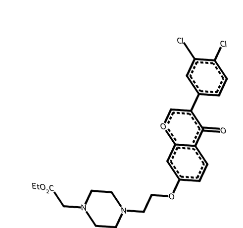 CCOC(=O)CN1CCN(CCOc2ccc3c(=O)c(-c4ccc(Cl)c(Cl)c4)coc3c2)CC1